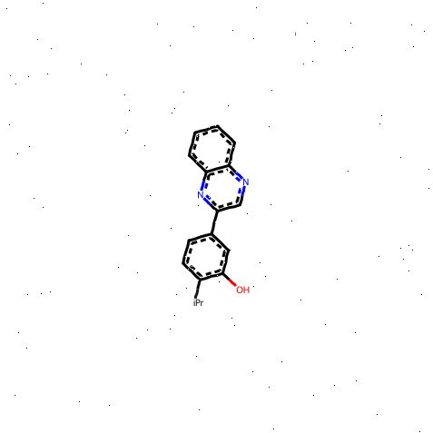 CC(C)c1ccc(-c2cnc3ccccc3n2)cc1O